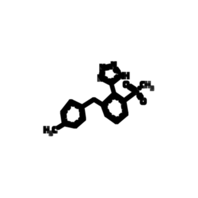 Cc1ccc(Cc2cccc(S(C)(=O)=O)c2-c2nnn[nH]2)cc1